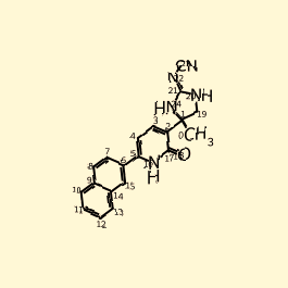 CC1(c2ccc(-c3ccc4ccccc4c3)[nH]c2=O)CN/C(=N\C#N)N1